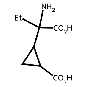 CCC(N)(C(=O)O)C1CC1C(=O)O